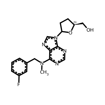 CN(Cc1cccc(F)c1)c1ncnc2c1ncn2C1CC[C@@H](CO)O1